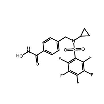 O=C(NO)c1ccc(CN(C2CC2)S(=O)(=O)c2c(F)c(F)c(F)c(F)c2F)cc1